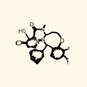 CN1C(=O)c2c(O)c(=O)ccn2N2C(c3ccccc3)c3ccc(F)c(F)c3OCCC12